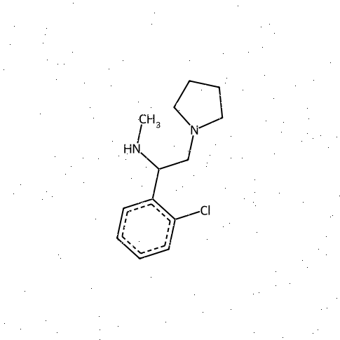 CNC(CN1CCCC1)c1ccccc1Cl